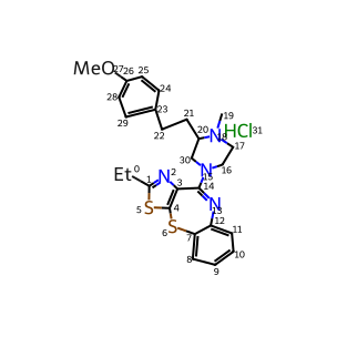 CCc1nc2c(s1)Sc1ccccc1N=C2N1CCN(C)C(CCc2ccc(OC)cc2)C1.Cl